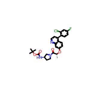 C[C@@H](Oc1ccc2c(-c3ccc(F)cc3Cl)ccnc2c1)C(=O)N1CC[C@@H](NC(=O)OC(C)(C)C)C1